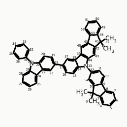 CC1(C)c2ccccc2-c2ccc(-n3c4ccc(-c5ccc6c(c5)c5ccccc5n6-c5ccccc5)cc4c4cc5c(cc43)C(C)(C)c3ccccc3-5)cc21